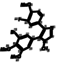 COc1ccc(-c2ncn(C)c2-c2cc(Br)c(OC)c(OC)c2)cc1F